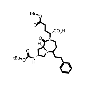 CC(C)(C)OC(=O)CC[C@H](C(=O)O)N1CCC(CCc2ccccc2)N2C[C@H](NC(=O)OC(C)(C)C)C[C@H]2C1=O